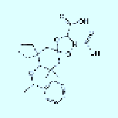 CCC1(CC)CC2(CC(C)(C)C1OC(C)c1ccccc1)OC(C(=O)O)N(C(=O)O)O2